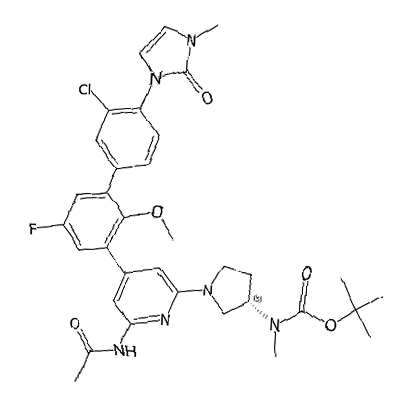 COc1c(-c2cc(NC(C)=O)nc(N3CC[C@H](N(C)C(=O)OC(C)(C)C)C3)c2)cc(F)cc1-c1ccc(-n2ccn(C)c2=O)c(Cl)c1